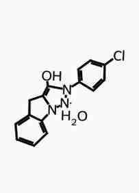 O.OC1=C2Cc3ccccc3N2[N]N1c1ccc(Cl)cc1